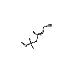 COC(C)(C)C/C(C)=C/CO